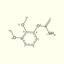 C=C([SiH3])Oc1cccc(OC)c1OC